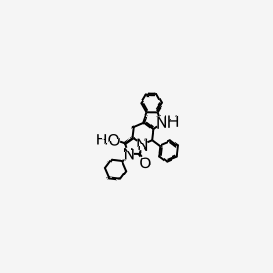 O=C1N(C2CCCCC2)C(O)C2Cc3c([nH]c4ccccc34)C(c3ccccc3)N12